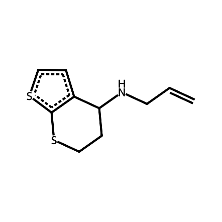 C=CCNC1CCSc2sccc21